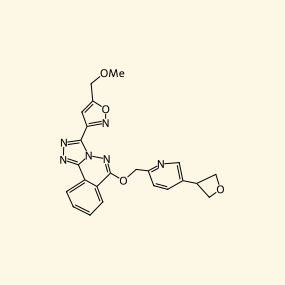 COCc1cc(-c2nnc3c4ccccc4c(OCc4ccc(C5COC5)cn4)nn23)no1